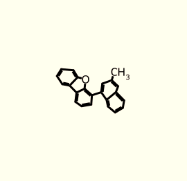 Cc1cc(-c2cccc3c2oc2ccccc23)c2ccccc2c1